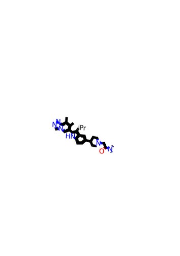 Cc1c(-c2[nH]c3ccc(C4CCN(CC(=O)N(C)C)CC4)cc3c2C(C)C)cn2cnnc2c1C